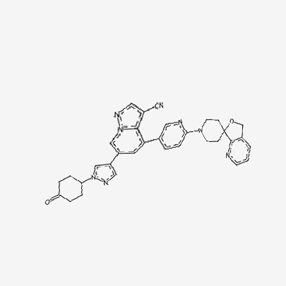 N#Cc1cnn2cc(-c3cnn(C4CCC(=O)CC4)c3)cc(-c3ccc(N4CCC5(CC4)OCc4cccnc45)nc3)c12